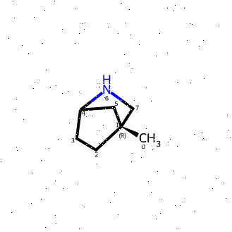 C[C@@]12CCC(C1)NC2